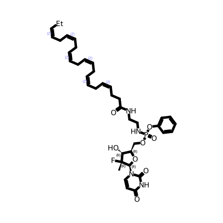 CC/C=C\C/C=C\C/C=C\C/C=C\C/C=C\C/C=C\CCC(=O)NCCNP(=O)(OC[C@H]1O[C@@H](n2ccc(=O)[nH]c2=O)[C@](C)(F)[C@@H]1O)Oc1ccccc1